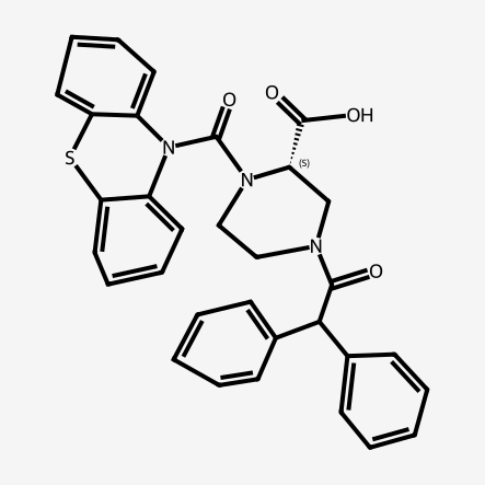 O=C(O)[C@@H]1CN(C(=O)C(c2ccccc2)c2ccccc2)CCN1C(=O)N1c2ccccc2Sc2ccccc21